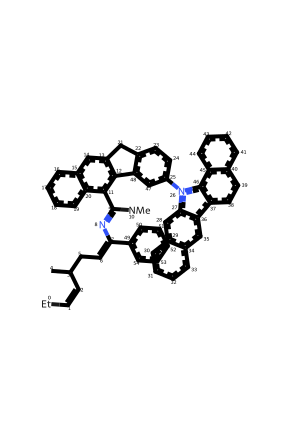 CC/C=C\C(C)C/C=C(\N=C(/NC)c1c2c(cc3ccccc13)Cc1ccc(-n3c4cc5ccccc5cc4c4ccc5ccccc5c43)cc1-2)c1ccccc1